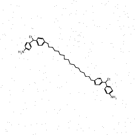 CCC(c1ccc(N)cc1)c1ccc(CCCCCCCCCCCCCCCCCCc2ccc(C(CC)c3ccc(N)cc3)cc2)cc1